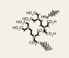 O=C(O)CN(CCN(CC(=O)O)CC(=O)O)CC(=O)O.O=C(O)CN(CCN(CC(=O)O)CC(=O)O)CC(=O)O.[NaH].[NaH].[NaH].[NaH].[NaH].[NaH].[NaH].[NaH]